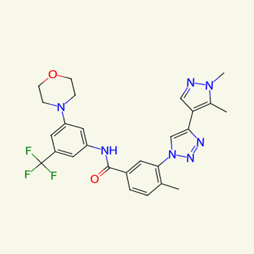 Cc1ccc(C(=O)Nc2cc(N3CCOCC3)cc(C(F)(F)F)c2)cc1-n1cc(-c2cnn(C)c2C)nn1